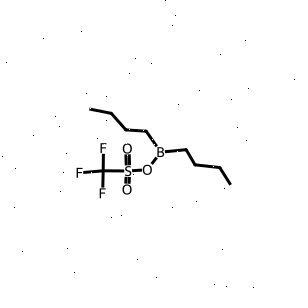 CCCCB(CCCC)OS(=O)(=O)C(F)(F)F